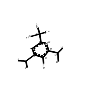 CC(C)c1cc(C(F)(F)F)nc(C(C)C)c1F